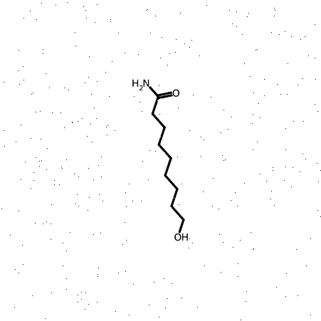 NC(=O)CCCCCCCCO